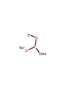 CCOP([O-])OC.[Na+]